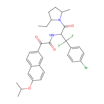 CCC1CCC(C)N1C(=O)C(NC(=O)C(=O)c1ccc2cc(OC(C)C)ccc2c1)C(F)(F)c1ccc(Br)cc1